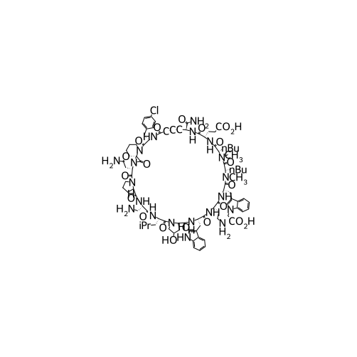 CCCC[C@H]1C(=O)N(C)[C@@H](CCCC)C(=O)N[C@@H](CCC(=O)O)C(=O)N[C@H](C(N)=O)CCCC(=O)N[C@@H](Cc2ccc(Cl)cc2)C(=O)N2CCCC[C@@]23C(=O)N3[C@@H](CC(N)=O)C(=O)N2CCC[C@H]2C(=O)N[C@@H](CN)C(=O)N[C@@H](CC(C)C)C(=O)N2C[C@H](O)C[C@H]2C(=O)N[C@@H](Cc2c[nH]c3ccccc23)C(=O)N[C@@H](CCN)C(=O)N[C@@H](Cc2cn(CC(=O)O)c3ccccc23)C(=O)N1C